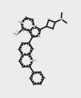 CN(C)C1CC(c2nc(-c3ccc4ccc(-c5ccccc5)nc4c3)c3c(N)nccn23)C1